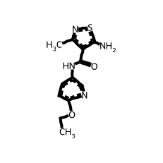 CCOc1ccc(NC(=O)c2c(C)nsc2N)cn1